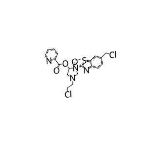 O=C(OC1CN(CCCl)C[N+]1([O-])c1nc2ccc(CCl)cc2s1)c1ccccn1